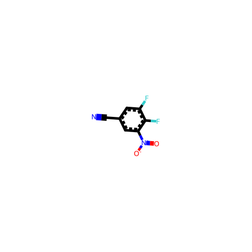 N#Cc1cc(F)c(F)c([N+](=O)[O-])c1